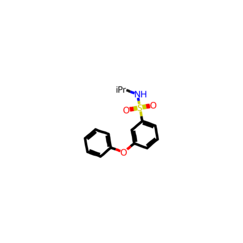 CC(C)NS(=O)(=O)c1cccc(Oc2ccccc2)c1